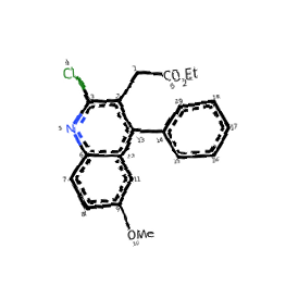 CCOC(=O)Cc1c(Cl)nc2ccc(OC)cc2c1-c1ccccc1